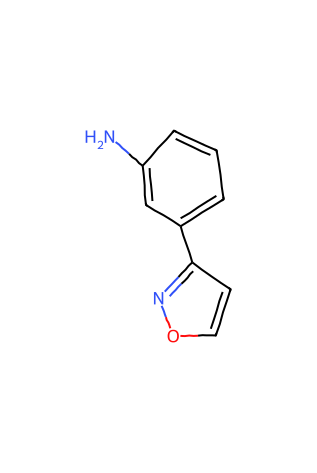 Nc1cccc(-c2ccon2)c1